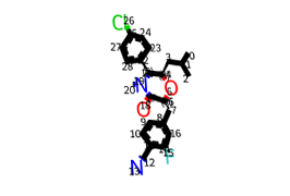 CC(C)C[C@H]1O[C@H](Cc2ccc(C#N)c(F)c2)C(=O)N(C)[C@H]1c1ccc(Cl)cc1